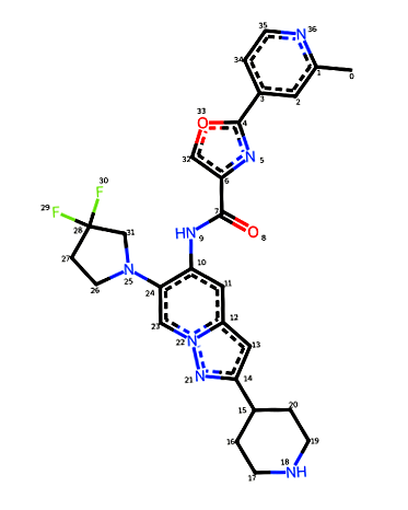 Cc1cc(-c2nc(C(=O)Nc3cc4cc(C5CCNCC5)nn4cc3N3CCC(F)(F)C3)co2)ccn1